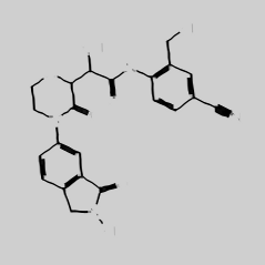 CCc1cc(C#N)ccc1NC(=O)C(O)C1OCCN(c2ccc3c(c2)C(=O)N(C)C3)C1=O